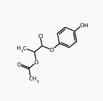 CC(=O)OC(C)C(Cl)Oc1ccc(O)cc1